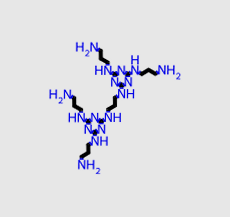 NCCCNc1nc(NCCCN)nc(NCCCNc2nc(NCCCN)nc(NCCCN)n2)n1